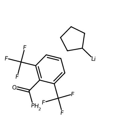 O=C(P)c1c(C(F)(F)F)cccc1C(F)(F)F.[Li][CH]1CCCC1